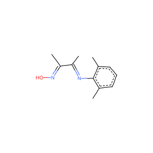 CC(=NO)C(C)=Nc1c(C)cccc1C